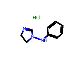 C1=NCCN1Nc1ccccc1.Cl